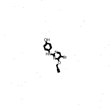 C#CCOc1nc(Nc2ccc(O)cc2)ncc1Br